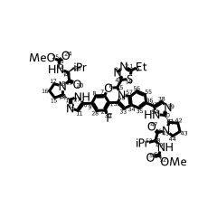 CCc1nnc(C2Oc3cc(-c4cnc([C@@H]5CCCN5C(=O)[C@@H](NC(=O)OC)C(C)C)[nH]4)cc(F)c3-c3cc4cc(-c5cnc([C@@H]6CCCN6C(=O)C(NC(=O)OC)C(C)C)[nH]5)ccc4n32)s1